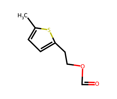 Cc1ccc(CCOC=O)s1